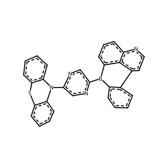 c1ccc2c(c1)Sc1ccccc1N2c1cnc(B2c3ccccc3-c3ccnc4cccc2c34)cn1